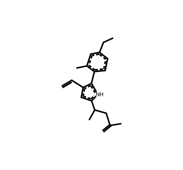 C=Cc1cc(C(C)CC(=C)C)[nH]c1-c1ccc(CC)cc1C